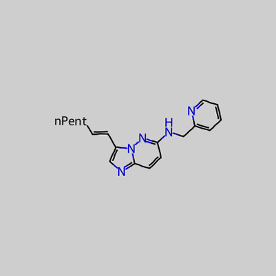 CCCCC/C=C/c1cnc2ccc(NCc3ccccn3)nn12